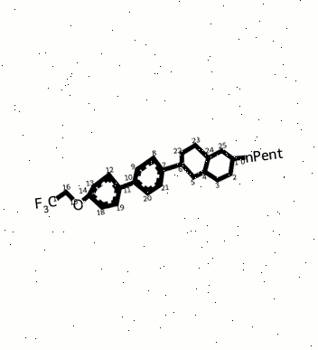 CCCCCC1CCC2CC(c3ccc(-c4ccc(OCC(F)(F)F)cc4)cc3)CCC2C1